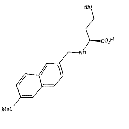 COc1ccc2cc(CN[C@@H](CCC(C)(C)C)C(=O)O)ccc2c1